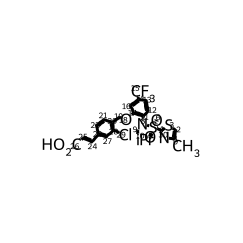 Cc1csc(S(=O)(=O)N(CC(C)C)c2ccc(C(F)(F)F)cc2OCc2ccc(/C=C/C(=O)O)cc2Cl)n1